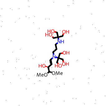 COC(OC)[C@@H](O)C=CN(CCCNC(CO)(CO)CO)C(CO)(CO)CO